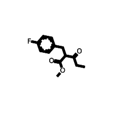 CCC(=O)C(Cc1ccc(F)cc1)C(=O)OC